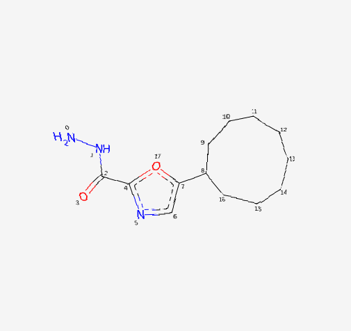 NNC(=O)c1ncc(C2CCCCCCCC2)o1